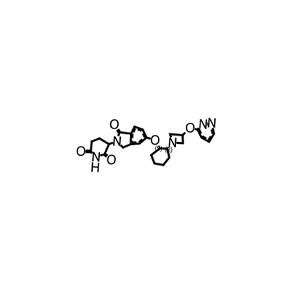 O=C1CCC(N2Cc3cc(O[C@H]4CCCC[C@H]4N4CC(Oc5cccnn5)C4)ccc3C2=O)C(=O)N1